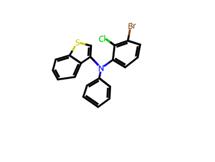 Clc1c(Br)cccc1N(c1ccccc1)c1csc2ccccc12